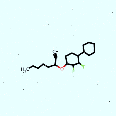 C#CC(CCCCC)OC1CCC(C2CCCCC2)C(F)C1F